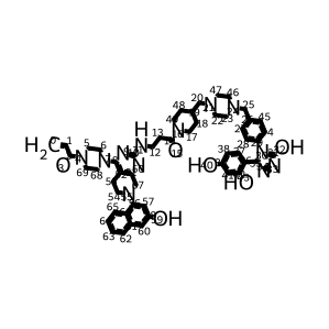 C=CC(=O)N1CCN(c2nc(NCCC(=O)N3CCC(CN4CCN(Cc5ccc(-n6c(O)nnc6-c6ccc(O)cc6O)cc5)CC4)CC3)nc3c2CCN(c2cc(O)cc4ccccc24)C3)CC1